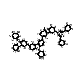 c1ccc(-c2nc(-c3ccccc3)nc(-c3ccc4oc5ccc(-c6ccc7c(c6)c6cc(-c8ccc9c(c8)c8ccccc8n9-c8ccccc8)ccc6n7-c6ccccc6)cc5c4c3)n2)cc1